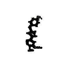 COc1ccc(-c2nc(CN3CCN(C)CC3)cs2)cc1OC